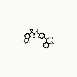 COc1ccccc1C(N)c1ccc(NC(=O)C2(c3ccc4c(c3)OCO4)CC2)nc1